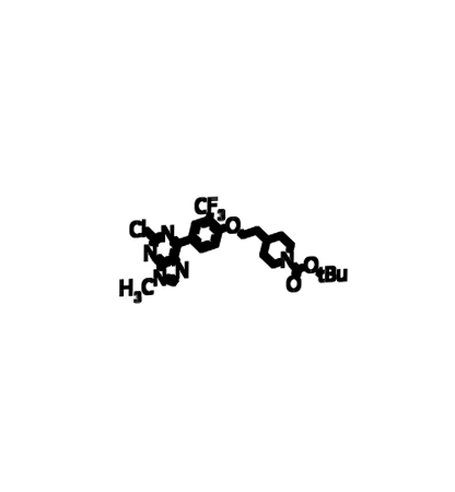 Cn1cnc2c(-c3ccc(OCCC4CCN(C(=O)OC(C)(C)C)CC4)c(C(F)(F)F)c3)nc(Cl)nc21